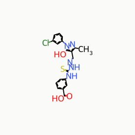 Cc1nn(-c2cccc(Cl)c2)c(O)c1C=NNC(=S)Nc1cccc(C(=O)O)c1